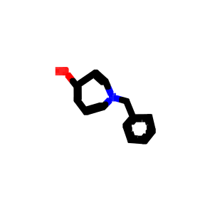 OC1=CC=CN(Cc2ccccc2)C=C1